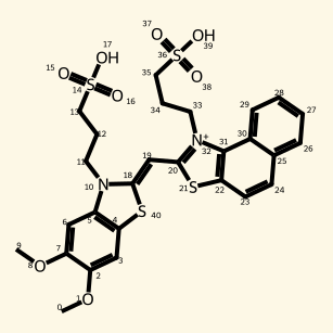 COc1cc2c(cc1OC)N(CCCS(=O)(=O)O)/C(=C/c1sc3ccc4ccccc4c3[n+]1CCCS(=O)(=O)O)S2